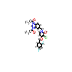 CC(=O)N1CN(C(C)=O)c2cc(Cn3ccc(OCc4ccc(F)cc4F)c(Cl)c3=O)ccc21